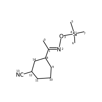 C/C(=N\O[Si](C)(C)C)C1CCCC(C#N)C1